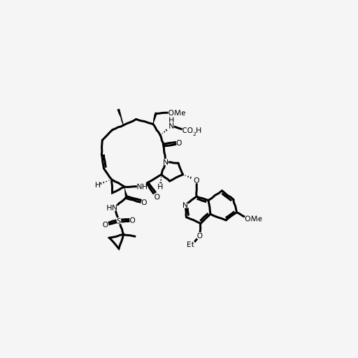 CCOc1cnc(O[C@@H]2C[C@H]3C(=O)N[C@]4(C(=O)NS(=O)(=O)C5(C)CC5)C[C@H]4C=CCC[C@@H](C)C[C@@H](COC)[C@H](NC(=O)O)C(=O)N3C2)c2ccc(OC)cc12